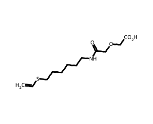 C=CSCCCCCCNC(=O)COCC(=O)O